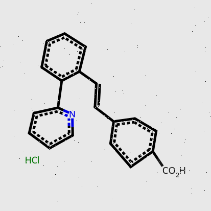 Cl.O=C(O)c1ccc(/C=C/c2ccccc2-c2ccccn2)cc1